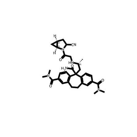 C[C@H](CC1(C(N)=O)c2ccc(C(=O)N(C)C)cc2CCc2cc(C(=O)N(C)C)ccc21)NCC(=O)N1C(C#N)C[C@@H]2C[C@@H]21